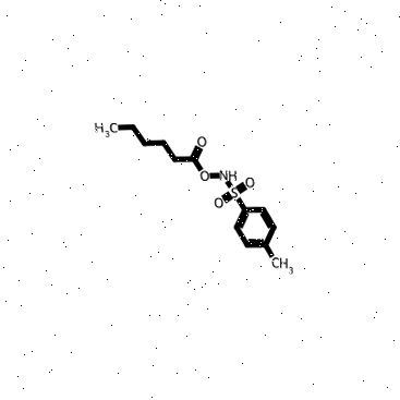 CCCCCC(=O)ONS(=O)(=O)c1ccc(C)cc1